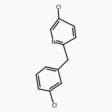 Clc1ccc([CH]c2cccc(Cl)c2)nc1